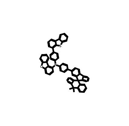 CC1(C)c2ccccc2C2(c3ccccc3-c3ccc(-c4ccc(N(c5ccc(-c6cccc7c6sc6ccccc67)cc5)c5cccc6oc7ccccc7c56)cc4)cc32)c2ccccc21